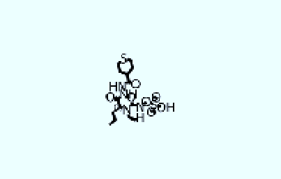 CCC[C@@H](C(=O)NNC(=O)C1CCSCC1)N(CC)C(=O)NOS(=O)(=O)O